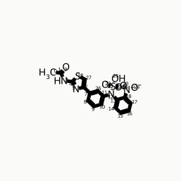 CC(=O)Nc1nc(-c2cccc(N(c3ccccc3[N+](=O)[O-])S(=O)(=O)O)c2)cs1